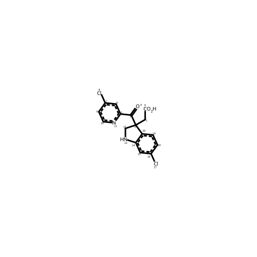 O=C(O)CC1(C(=O)c2cc(Cl)ccn2)CNc2cc(Cl)ccc21